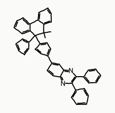 CC1(C)c2ccccc2-c2ccccc2C1(c1ccccc1)c1ccc(-c2ccc3nc(-c4ccccc4)c(-c4ccccc4)nc3c2)cc1